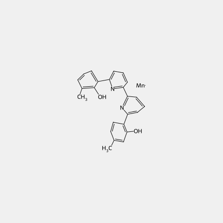 Cc1ccc(-c2cccc(-c3cccc(-c4cccc(C)c4O)n3)n2)c(O)c1.[Mn]